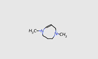 CN1/C=C\CN(C)CCC1